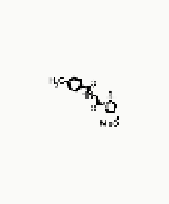 COC[C@H]1C[C@@H](C(C)=O)N(C(=O)CNC(=O)c2ccc(C)cc2)C1